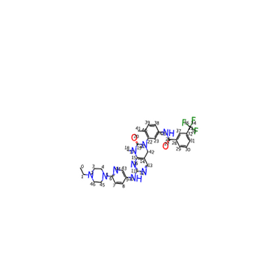 CCN1CCN(c2ccc(Nc3ncc4c(n3)N(C)C(=O)N(c3cc(NC(=O)c5cccc(C(F)(F)F)c5)ccc3C)C4)cn2)CC1